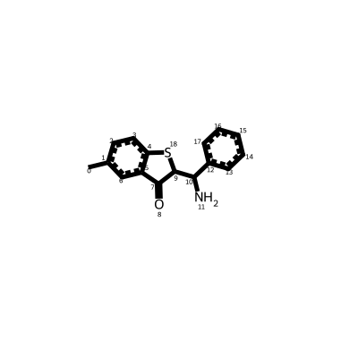 Cc1ccc2c(c1)C(=O)C(C(N)c1ccccc1)S2